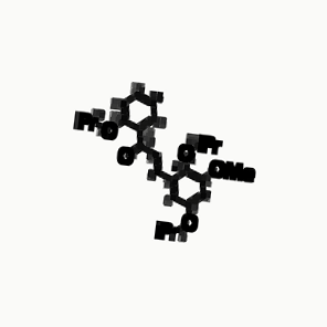 COc1cc(OC(C)C)cc(C=CC(=O)c2ccccc2OC(C)C)c1OC(C)C